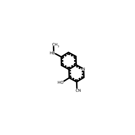 CBc1ccc2ncc(C#N)c(O)c2c1